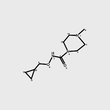 CN1CCN(C(=O)NOCC2CC2)CC1